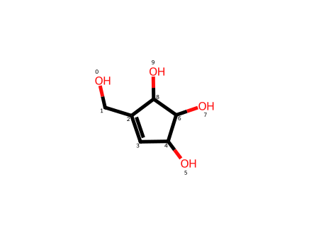 OCC1=CC(O)C(O)C1O